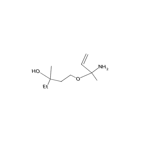 C=CC(C)(N)OCCC(C)(O)CC